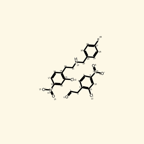 O=CCc1ccc([N+](=O)[O-])cc1Cl.O=[N+]([O-])c1ccc(CCNCc2ccc(F)cc2)c(Cl)c1